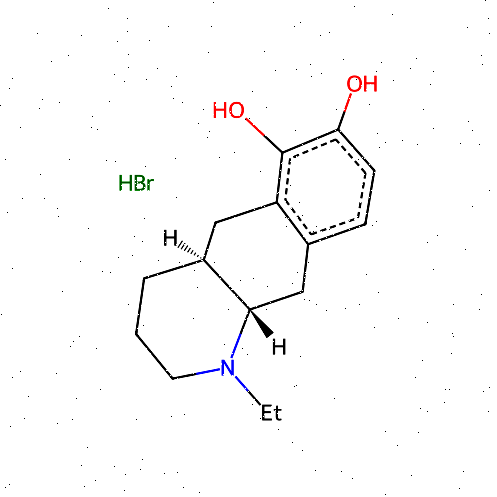 Br.CCN1CCC[C@H]2Cc3c(ccc(O)c3O)C[C@@H]21